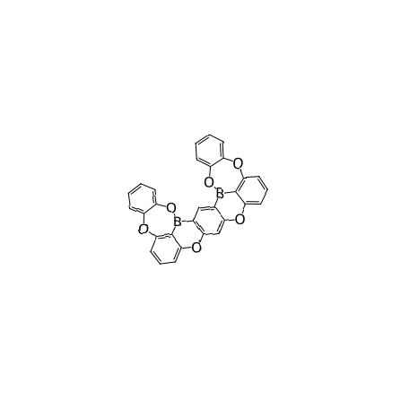 c1ccc2c(c1)OB1c3cc4c(cc3Oc3cccc(c31)O2)Oc1cccc2c1B4Oc1ccccc1O2